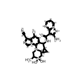 CC1CN(c2c(C(NC(=O)c3c(N)nn4cccnc34)C3CC3)cc(Cl)c3c(C#N)ncn23)CCS1(O)O